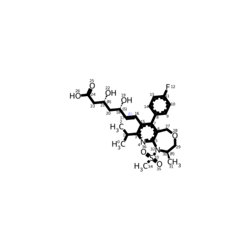 CC(C)c1nc2c(c(-c3ccc(F)cc3)c1/C=C/[C@@H](O)C[C@@H](O)CC(=O)O)COC[C@@H](C)N2S(C)(=O)=O